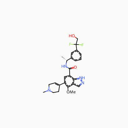 COc1c(C2=CCN(C)CC2)cc(C(=O)N[C@H](C)c2cccc(C(F)(F)CO)c2)c2[nH]ncc12